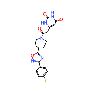 O=C(Cc1cc(=O)[nH]c(=O)[nH]1)N1CCC(c2nc(-c3ccc(F)cc3)no2)CC1